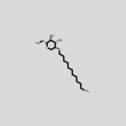 CCCCCCCCCCCCO[C@H]1[CH]O[C@H](CO)[C@@H](O)[C@@H]1O